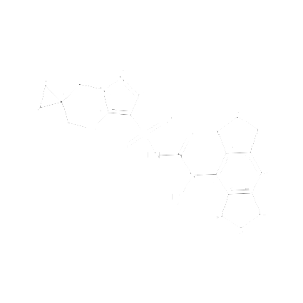 O=C(NS(=O)(=O)c1cnn2c1OCC1(CC1)C2)N(S)c1c2c(cc3c1CCC3)CCC2